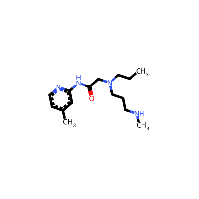 CCCN(CCCNC)CC(=O)Nc1cc(C)ccn1